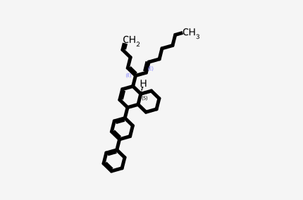 C=CC/C=C(\C=C\CCCCC)C1C=CC(C2=CC=C(C3=CC=CCC3)CC2)C2CCCC[C@H]12